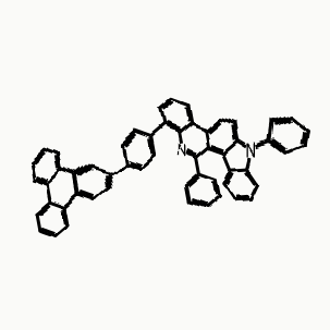 c1ccc(-c2nc3c(-c4ccc(-c5ccc6c7ccccc7c7ccccc7c6c5)cc4)cccc3c3ccc4c(c5ccccc5n4-c4ccccc4)c23)cc1